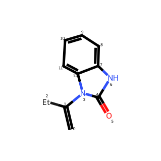 C=C(CC)n1c(=O)[nH]c2ccccc21